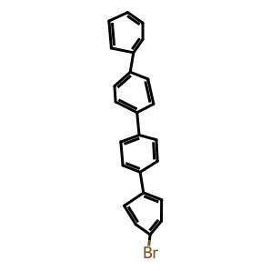 Brc1ccc(-c2ccc(-c3ccc(-c4ccccc4)cc3)cc2)cc1